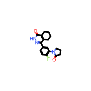 O=C1CCCN1c1cc(-c2n[nH]c(=O)c3c2CCCC3)ccc1F